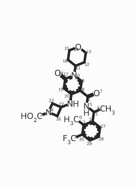 Cc1c(C(C)NC(=O)c2cn(C3CCOCC3)c(=O)cc2NC2CN(C(=O)O)C2)cccc1C(F)(F)F